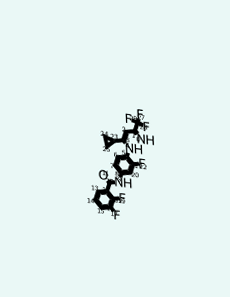 N=C(/C=C(\Nc1ccc(NC(=O)c2cccc(F)c2F)cc1F)C1CC1)C(F)(F)F